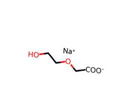 O=C([O-])COCCO.[Na+]